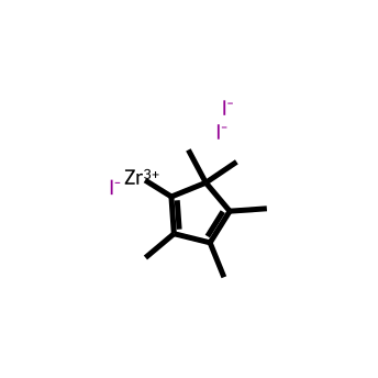 CC1=C(C)C(C)(C)[C]([Zr+3])=C1C.[I-].[I-].[I-]